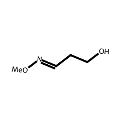 CON=CCCO